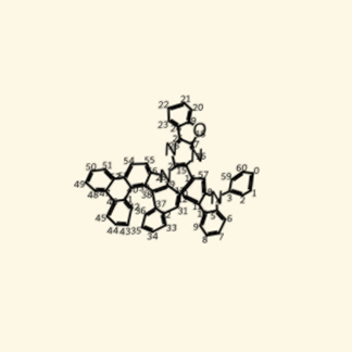 c1ccc(-n2c3ccccc3c3ccc(-c4nc5oc6ccccc6c5nc4-n4c5ccc6ccccc6c5c5c6c7ccccc7c7ccccc7c6ccc54)cc32)cc1